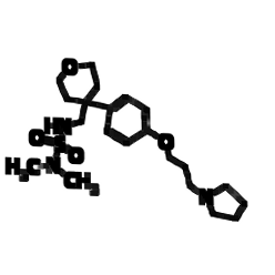 CN(C)S(=O)(=O)NCC1(c2ccc(OCCCN3CCCC3)cc2)CCOCC1